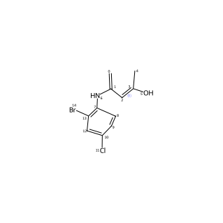 C=C(/C=C(\C)O)Nc1ccc(Cl)cc1Br